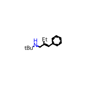 CC/C(=C\c1ccccc1)CNC(C)(C)C